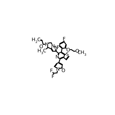 C=CC(=O)N1CCn2nc(-c3nc(-c4ccn(CC(F)F)c(=O)c4)c4ccsc4c3-c3c(F)cc(F)cc3OCCOC)cc2C1C